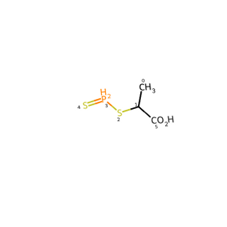 CC(S[PH2]=S)C(=O)O